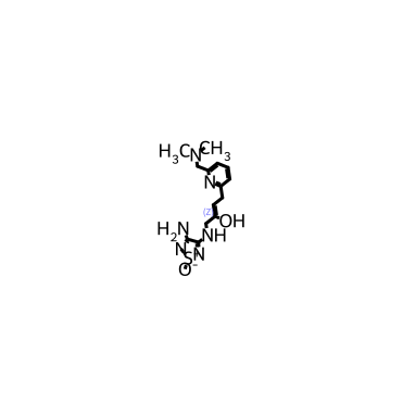 CN(C)Cc1cccc(C/C=C(\O)CNc2n[s+]([O-])nc2N)n1